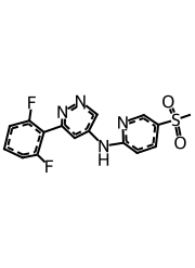 CS(=O)(=O)c1ccc(Nc2cnnc(-c3c(F)cccc3F)c2)nc1